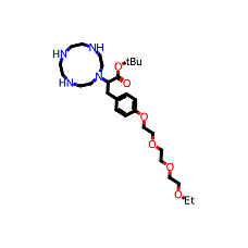 CCOCCOCCOCCOc1ccc(CC(C(=O)OC(C)(C)C)N2CCNCCNCCNCC2)cc1